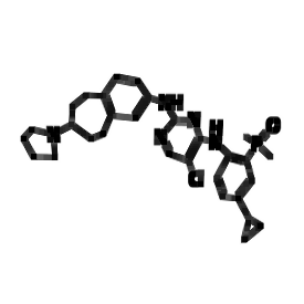 CP(C)(=O)c1cc(C2CC2)ccc1Nc1nc(Nc2ccc3c(c2)CCC(N2CCCC2)CC3)ncc1Cl